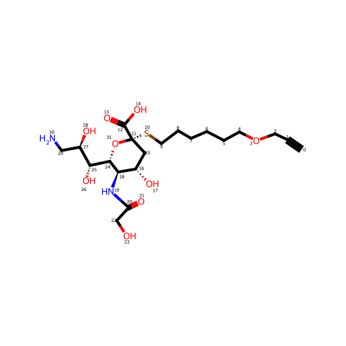 C#CCOCCCCCCS[C@]1(C(=O)O)C[C@H](O)[C@@H](NC(=O)CO)[C@H]([C@H](O)[C@H](O)CN)O1